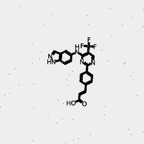 O=C(O)C=Cc1ccc(-c2ncc(C(F)(F)F)c(Nc3ccc4[nH]ncc4c3)n2)cc1